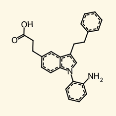 Nc1ccccc1-n1cc(CCc2ccccc2)c2cc(CCC(=O)O)ccc21